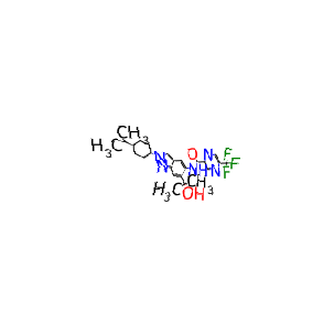 CC(C)[C@H]1CC[C@H](n2cc3cc(NC(=O)c4cnc(C(F)(F)F)cn4)c(C(C)(C)O)cc3n2)CC1